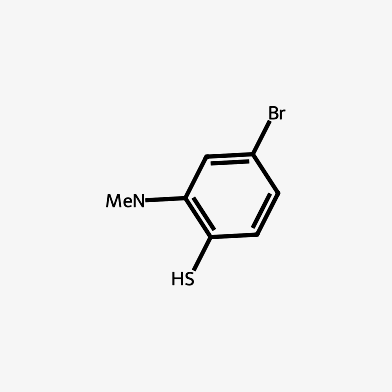 CNc1cc(Br)ccc1S